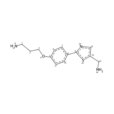 NCCCOc1ccc(-c2ncc(CN)s2)cc1